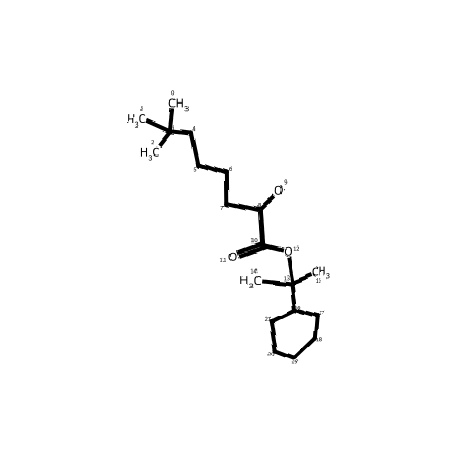 CC(C)(C)CCCCC([O])C(=O)OC(C)(C)C1CCCCC1